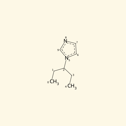 CCC(CC)n1ccnc1